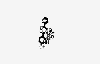 CS(=O)(=O)NN(CC(=O)c1cccs1)C(=O)C1CCC(O)NC1O